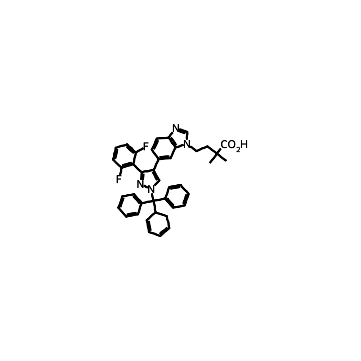 CC(C)(CCn1cnc2ccc(-c3cn(C(c4ccccc4)(c4ccccc4)C4C=CC=CC4)nc3-c3c(F)cccc3F)cc21)C(=O)O